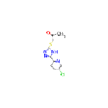 CC(=O)CSc1nnc(-c2ccc(Cl)cn2)[nH]1